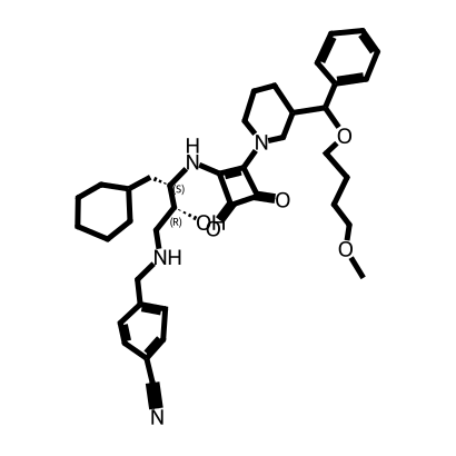 COCCCCOC(c1ccccc1)C1CCCN(c2c(N[C@@H](CC3CCCCC3)[C@H](O)CNCc3ccc(C#N)cc3)c(=O)c2=O)C1